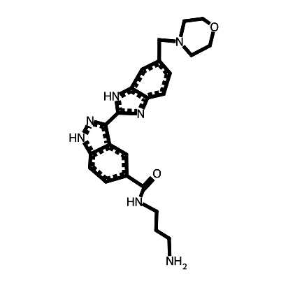 NCCCNC(=O)c1ccc2[nH]nc(-c3nc4ccc(CN5CCOCC5)cc4[nH]3)c2c1